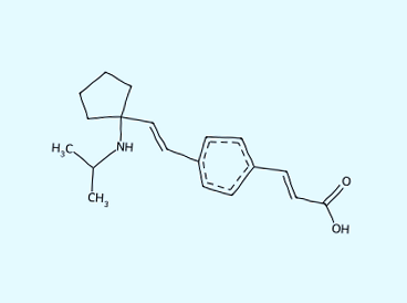 CC(C)NC1(/C=C/c2ccc(/C=C/C(=O)O)cc2)CCCC1